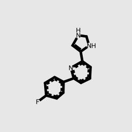 Fc1ccc(-c2cccc(C3=CNCN3)n2)cc1